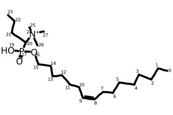 CCCCCCCC/C=C\CCCCCCOP(=O)(O)C(CCC)[N+](C)(C)C